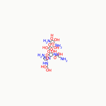 NCC[C@@H](O)C(=O)N[C@@H]1C[C@H](N)[C@@H](O[C@H]2O[C@H](CNCC(O)CO)CC[C@H]2N)[C@H](O[C@@H]2O[C@H](CO)[C@@H](O[C@H]3O[C@@H](CN)[C@@H](O)[C@H](O)[C@H]3N)[C@H]2O)[C@H]1O